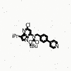 CC(C)c1cnn2c(N(Cc3ccc(-c4ccncc4)cc3)C(=O)OC(C)(C)C)cc(Cl)nc12